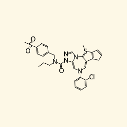 CCCN(Cc1ccc(S(C)(=O)=O)cc1)C(=O)N1N=CN2C1=CN(c1ccccc1Cl)C=C1C3=C(C=CC3)S(C)=C12